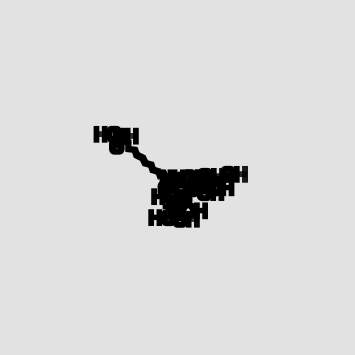 CC1OC(OC2C(O[C@H](O)/C(O)=C(\O)[C@@H](O)CCO)[C@H](O)OC(C(=O)NCCCCCCCCCCC(=O)NO)[C@H]2O)C(O)C(O)C1O